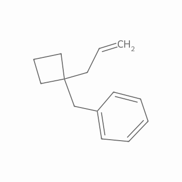 C=CCC1(Cc2ccccc2)CCC1